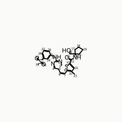 C/N=C(\N=C/C/C=C\c1sc(C(=O)NC2(CO)CCCC2)cc1C)Nc1cccc(S(C)(=O)=O)c1